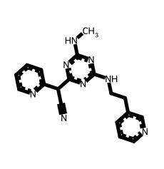 CNc1nc(NCCc2cccnc2)nc(C(C#N)c2ccccn2)n1